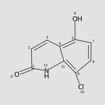 O=c1ccc2c(O)ccc(Cl)c2[nH]1